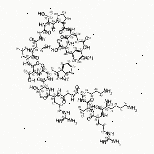 CC(C)C[C@H](NC(=O)[C@@H](NC(=O)[C@H](Cc1c[nH]c2ccccc12)NC(=O)[C@@H](NC(=O)[C@H](CCCNC(=N)N)NC(=O)CNC(=O)[C@H](CCCCN)NC(=O)[C@@H](NC(=O)[C@H](CCCNC(=N)N)NC(=O)[C@@H](N)CCCCN)C(C)C)[C@@H](C)O)[C@@H](C)O)C(=O)N[C@@H](CS)C(=O)NCC(=O)N[C@H](C(=O)N1CCC[C@H]1C(=O)N[C@@H](CCC(=O)O)C(=O)N[C@@H](Cc1ccc(O)cc1)C(=O)O)[C@@H](C)O